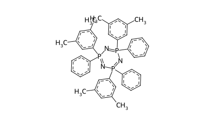 Cc1cc(C)cc(P2(c3ccccc3)=NP(c3ccccc3)(c3cc(C)cc(C)c3)=NP(c3ccccc3)(c3cc(C)cc(C)c3)=N2)c1